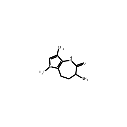 Cc1cn(C)c2c1NC(=O)C(N)CC2